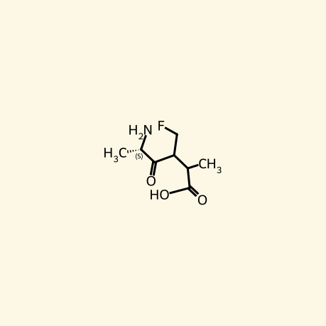 CC(C(=O)O)C(CF)C(=O)[C@H](C)N